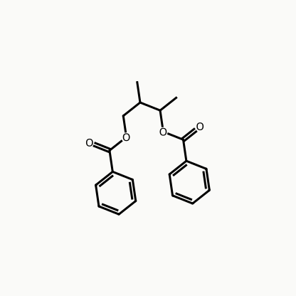 CC(COC(=O)c1ccccc1)C(C)OC(=O)c1ccccc1